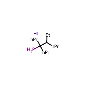 CCCC(CC)C(P)(CCC)CCC.I